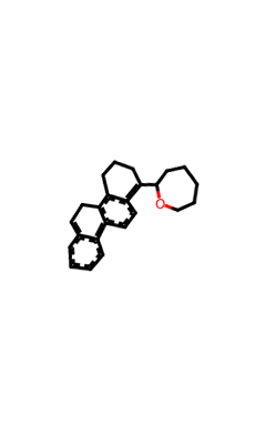 C1=c2ccccc2=c2ccc3c(c2C1)CCCC=3C1CCCCCO1